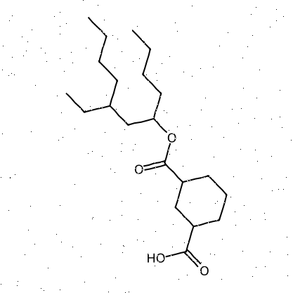 CCCCC(CC)CC(CCCC)OC(=O)C1CCCC(C(=O)O)C1